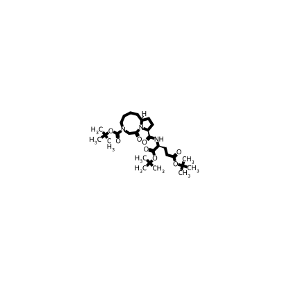 CC(C)(C)OC(=O)CC[C@H](NC(=O)[C@@H]1CC[C@@H]2CCCCN(C(=O)OC(C)(C)C)CC(=O)N21)C(=O)OC(C)(C)C